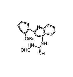 CC(C)COc1ccccc1-c1cc(NC(=N)NC=O)c2ccccc2n1